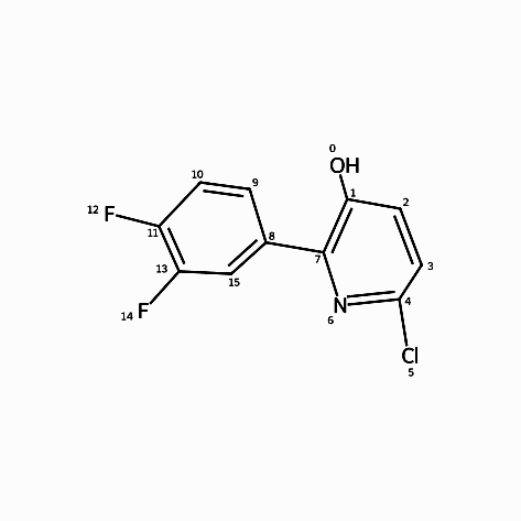 Oc1ccc(Cl)nc1-c1ccc(F)c(F)c1